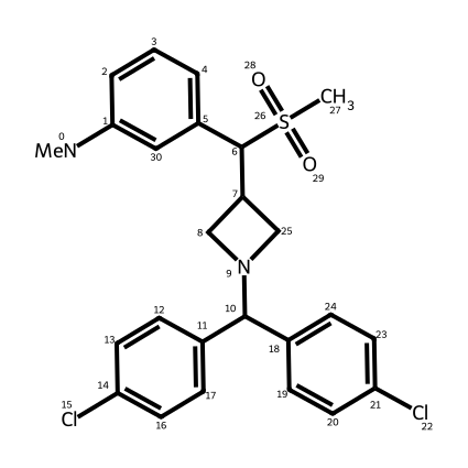 CNc1cccc(C(C2CN(C(c3ccc(Cl)cc3)c3ccc(Cl)cc3)C2)S(C)(=O)=O)c1